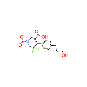 O=C(O)C1=C(c2ccc(CCCO)cc2)C(F)(F)CN(C(=O)O)C1